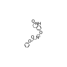 O=C(COc1ccccc1)CN1CC(Oc2ccc3c(c2)CCC(=O)N3)C1